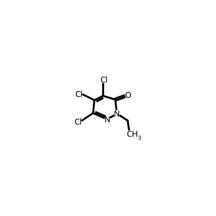 CCn1nc(Cl)c(Cl)c(Cl)c1=O